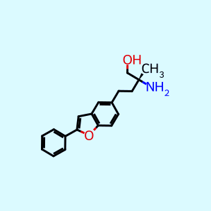 C[C@](N)(CO)CCc1ccc2oc(-c3ccccc3)cc2c1